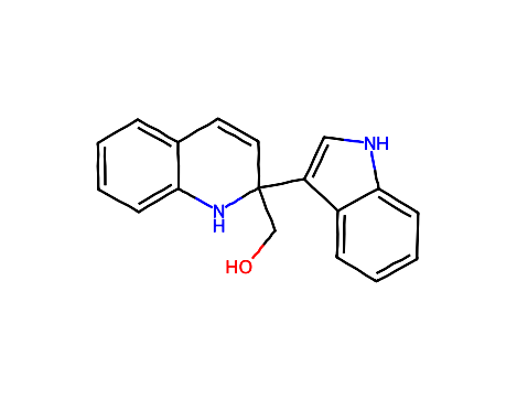 OCC1(c2c[nH]c3ccccc23)C=Cc2ccccc2N1